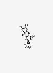 CC(C)c1cc(Oc2c(Br)cc(NCC(=O)O)cc2Br)ccc1O